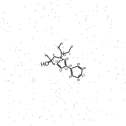 CCN(CC)S1(CC(C)(C)O)C=CC(c2ccccc2)=C1